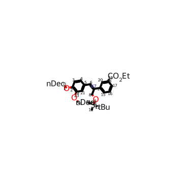 CCCCCCCCCCOc1ccc(/C=C(\CO[Si](C)(C)C(C)(C)C)c2cccc(C(=O)OCC)c2)cc1OCCCCCCCCCC